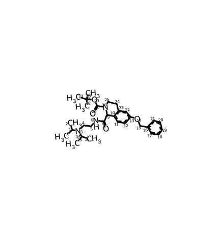 CC(C)N(CCNC(=O)C1c2ccc(OCc3ccccc3)cc2CCN1C(=O)OC(C)(C)C)C(C)C